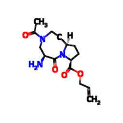 C=CCOC(=O)[C@@H]1CC[C@@H]2CCN(C(C)=O)C[C@H](N)C(=O)N21